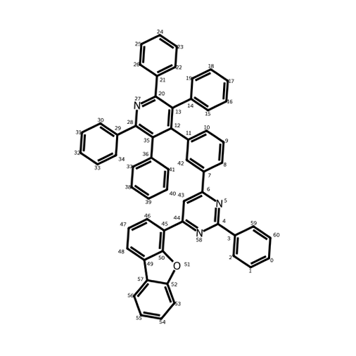 c1ccc(-c2nc(-c3cccc(-c4c(-c5ccccc5)c(-c5ccccc5)nc(-c5ccccc5)c4-c4ccccc4)c3)cc(-c3cccc4c3oc3ccccc34)n2)cc1